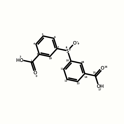 O=C(O)c1cccc([S+]([O-])c2cccc(C(=O)O)c2)c1